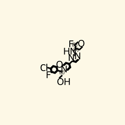 O=c1cc(-c2ccnc(N[C@@H]3CCOC[C@@H]3F)n2)ccn1[C@H](CCO)c1ccc(Cl)c(F)c1